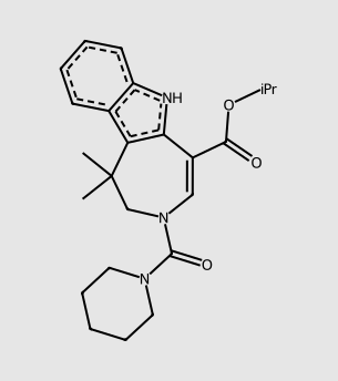 CC(C)OC(=O)C1=CN(C(=O)N2CCCCC2)CC(C)(C)c2c1[nH]c1ccccc21